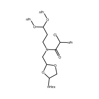 CCCCCCC1COC(CN(CCC(OCCC)OCCC)C(=O)C(Cl)CCC)O1